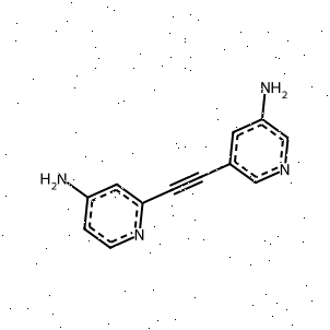 Nc1cncc(C#Cc2cc(N)ccn2)c1